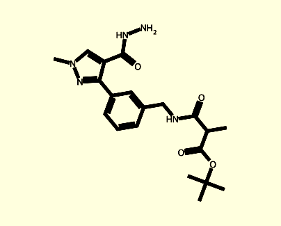 CC(C(=O)NCc1cccc(-c2nn(C)cc2C(=O)NN)c1)C(=O)OC(C)(C)C